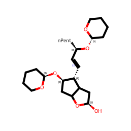 CCCCC[C@H](/C=C/[C@@H]1C2C[C@@H](O)OC2C[C@H]1O[C@@H]1CCCCO1)O[C@H]1CCCCO1